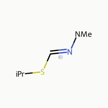 CN/N=C/SC(C)C